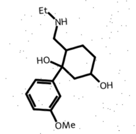 CCNCC1CCC(O)CC1(O)c1cccc(OC)c1